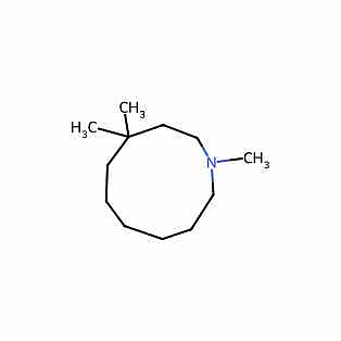 CN1CCCCCCC(C)(C)CC1